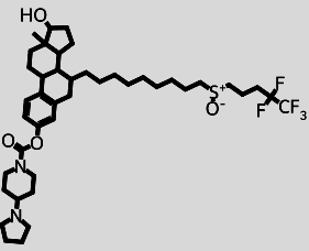 CC12CCC3c4ccc(OC(=O)N5CCC(N6CCCC6)CC5)cc4CC(CCCCCCCCC[S+]([O-])CCCC(F)(F)C(F)(F)F)C3C1CCC2O